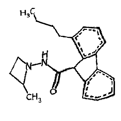 CCCCc1cccc2c1C(C(=O)NN1CCC1C)c1ccccc1-2